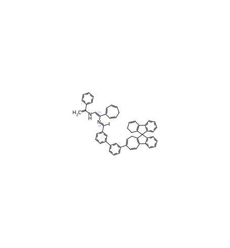 C=C(N/C=C(\N=C(/I)c1cccc(-c2cccc(C3=CCC4=C(C=C3)c3ccccc3C43C4=C(C=CCC4)c4ccccc43)c2)c1)C1=CC=CCC=C1)c1ccccc1